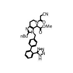 CCCCc1nc2c(n1Cc1ccc(-c3ccccc3-c3nnn[nH]3)cc1)C(C(=O)OC)N(C(=O)CC#N)CC2